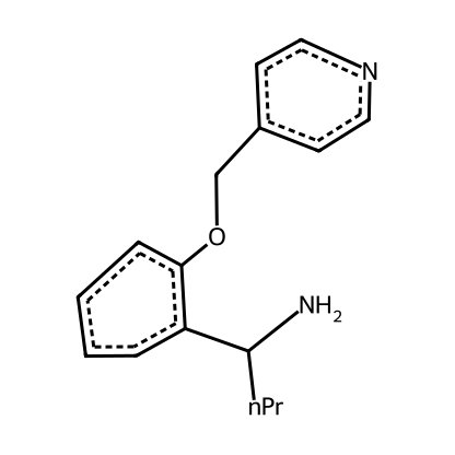 CCCC(N)c1ccccc1OCc1ccncc1